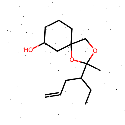 C=CCC(CC)C1(C)OCC2(CCCC(O)C2)O1